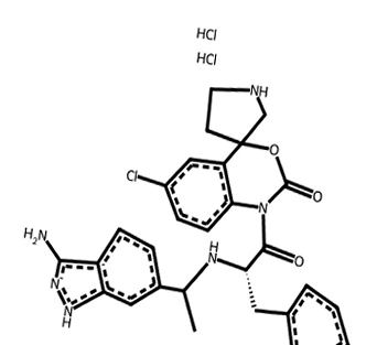 CC(N[C@@H](Cc1ccccc1)C(=O)N1C(=O)OC2(CCNC2)c2cc(Cl)ccc21)c1ccc2c(N)n[nH]c2c1.Cl.Cl